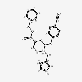 N#Cc1ccc(CC2CN(C(=O)OCc3ccccc3)CCN2Cc2cnc[nH]2)cc1